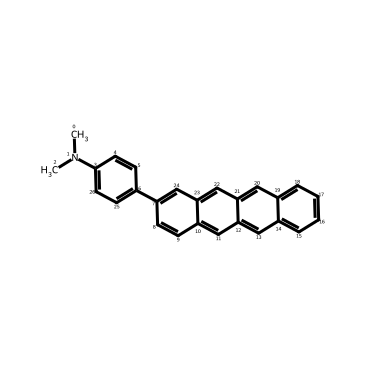 CN(C)c1ccc(-c2ccc3cc4cc5ccccc5cc4cc3c2)cc1